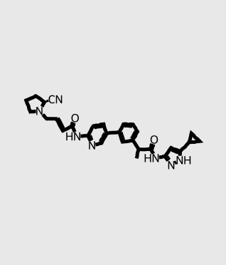 CC(C(=O)Nc1cc(C2CC2)[nH]n1)c1cccc(-c2ccc(NC(=O)/C=C/CN3CCC[C@H]3C#N)nc2)c1